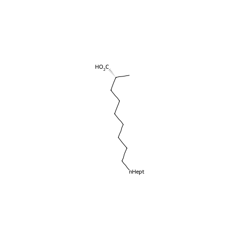 CCCCCCCCCCCCCC[C@@H](C)C(=O)O